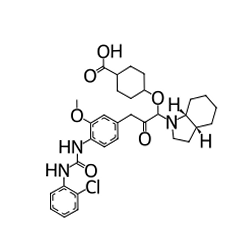 COc1cc(CC(=O)C(OC2CCC(C(=O)O)CC2)N2CC[C@H]3CCCC[C@H]32)ccc1NC(=O)Nc1ccccc1Cl